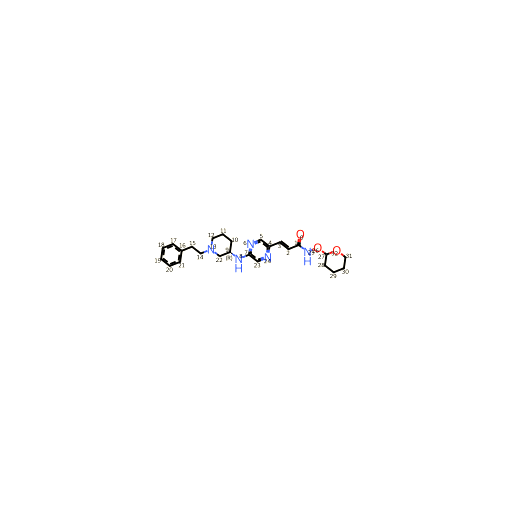 O=C(C=Cc1cnc(N[C@@H]2CCCN(CCc3ccccc3)C2)cn1)NOC1CCCCO1